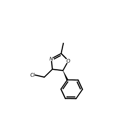 CC1=NC(CCl)[C@H](c2ccccc2)O1